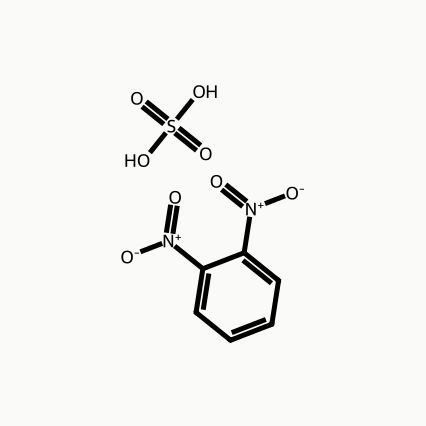 O=S(=O)(O)O.O=[N+]([O-])c1ccccc1[N+](=O)[O-]